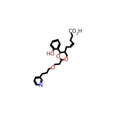 O=C(O)CC/C=C\CC1COC(CCOCCCc2cccnc2)OC1c1ccccc1O